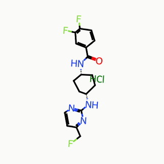 Cl.O=C(N[C@H]1CC[C@@H](Nc2nccc(CF)n2)CC1)c1ccc(F)c(F)c1